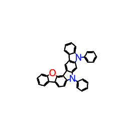 c1ccc(-n2c3ccccc3c3cc4c5c6oc7ccccc7c6ccc5n(-c5ccccc5)c4cc32)cc1